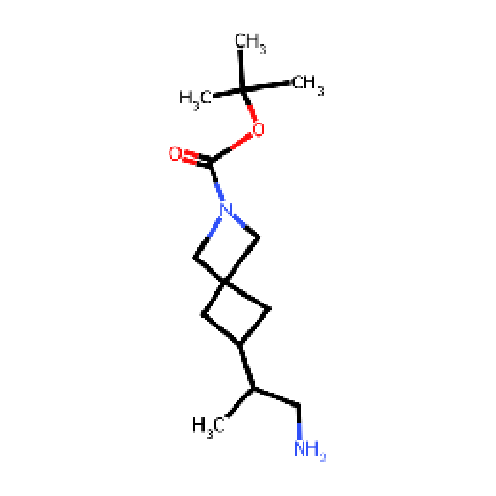 CC(CN)C1CC2(C1)CN(C(=O)OC(C)(C)C)C2